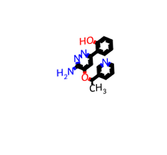 C[C@@H](Oc1cc(-c2ccccc2O)nnc1N)c1cccnc1